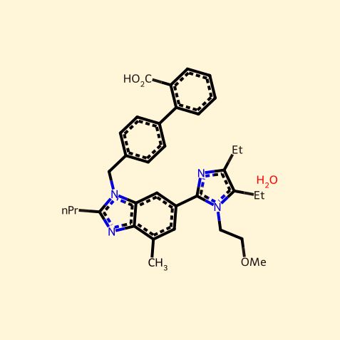 CCCc1nc2c(C)cc(-c3nc(CC)c(CC)n3CCOC)cc2n1Cc1ccc(-c2ccccc2C(=O)O)cc1.O